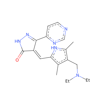 CCN(CC)Cc1c(C)[nH]c(/C=C2/C(=O)NN=C2c2ccncn2)c1C